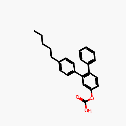 CCCCCc1ccc(-c2cc(OC(=O)O)ccc2-c2ccccc2)cc1